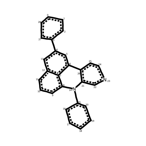 c1ccc(-c2cc3c4c(cccc4c2)N(c2ccccc2)c2cnccc2-3)cc1